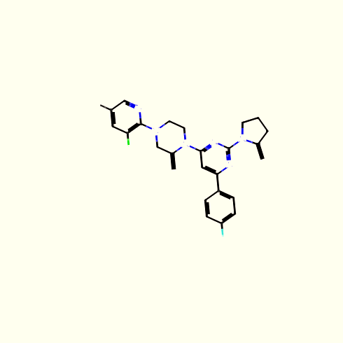 C=C1CN(c2ncc(C(=O)O)cc2Cl)CCN1c1cc(-c2ccc(F)cc2)nc(N2CCCC2=C)n1